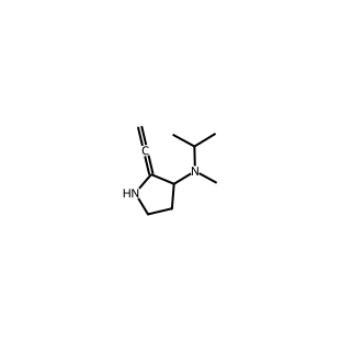 C=C=C1NCCC1N(C)C(C)C